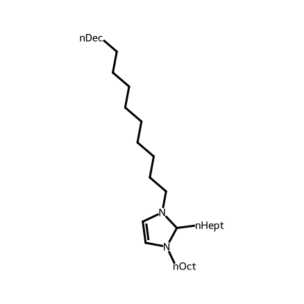 CCCCCCCCCCCCCCCCCCCN1C=CN(CCCCCCCC)C1CCCCCCC